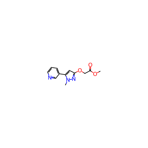 COC(=O)COc1cc(-c2cccnc2)n(C)n1